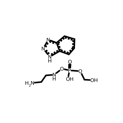 NCCNOP(=O)(O)OCO.c1ccc2[nH]nnc2c1